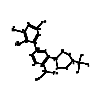 CC(C)(C)N1CCN(c2cc(-c3cc(F)cc(Br)c3O)cnc2C(F)F)CC1